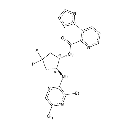 CCc1nc(C(F)(F)F)cnc1N[C@H]1CC(F)(F)C[C@@H]1NC(=O)c1ncccc1-n1nccn1